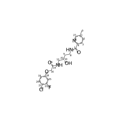 Cc1ccc(C(=O)NCC[C@H](O)CNC(=O)COc2ccc(Cl)c(F)c2)nc1